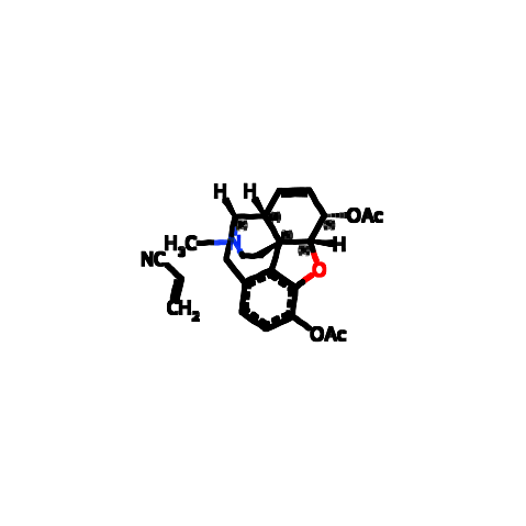 C=CC#N.CC(=O)Oc1ccc2c3c1O[C@H]1[C@@H](OC(C)=O)C=C[C@H]4[C@@H](C2)N(C)CC[C@@]341